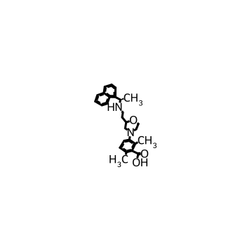 Cc1ccc(N2CCOC(CCN[C@H](C)c3cccc4ccccc34)C2)c(C)c1C(=O)O